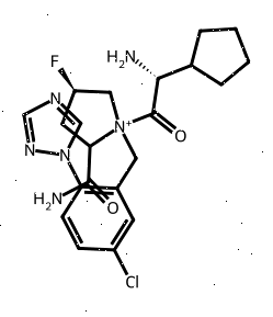 NC(=O)C1C[C@@H](F)C[N+]1(Cc1cc(Cl)ccc1-n1cncn1)C(=O)[C@H](N)C1CCCC1